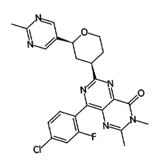 Cc1ncc([C@@H]2C[C@H](c3nc(-c4ccc(Cl)cc4F)c4nc(C)n(C)c(=O)c4n3)CCO2)cn1